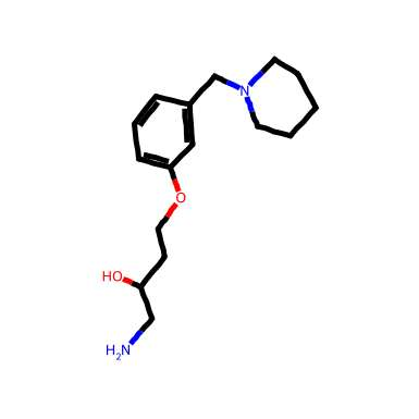 NCC(O)CCOc1cccc(CN2CCCCC2)c1